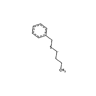 CCC[CH]SCc1ccccc1